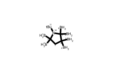 BC1(B)CC(B)(B)C(B)(B)N1C(C)(C)C